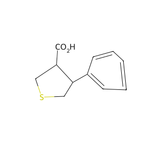 O=C(O)C1CSCC1c1ccccc1